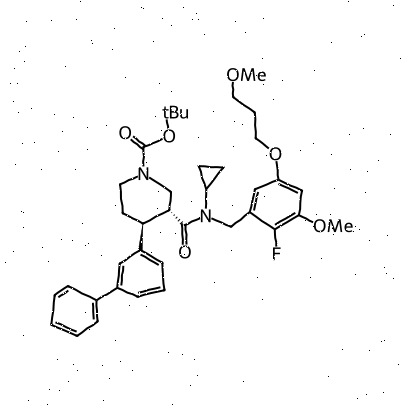 COCCCOc1cc(CN(C(=O)[C@H]2CN(C(=O)OC(C)(C)C)CC[C@@H]2c2cccc(-c3ccccc3)c2)C2CC2)c(F)c(OC)c1